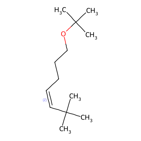 CC(C)(C)/C=C\CCCOC(C)(C)C